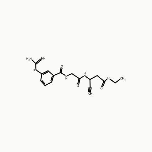 C#CC(CC(=O)OCC)NC(=O)CNC(=O)c1cccc(NC(=N)N)c1